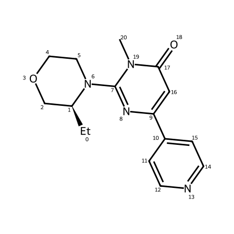 CC[C@H]1COCCN1c1nc(-c2ccncc2)cc(=O)n1C